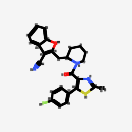 Cc1nc(C(=O)N2CCCCC2Cc2oc3ccccc3c2C#N)c(-c2ccc(F)cc2)s1